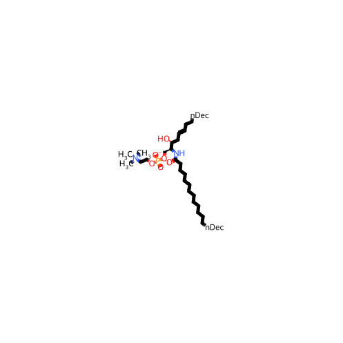 CCCCCCCCCCCCC=CC[C@@H](O)[C@H](COP(=O)([O-])OCC[N+](C)(C)C)NC(=O)CCCCCCCCCCCCCCCCCCCCCC